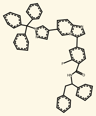 O=C(NC(Cc1ccccc1)c1ccccc1)c1ccc(-c2cnc3ccc(-c4cnn(C(c5ccccc5)(c5ccccc5)c5ccccc5)c4)cn23)cc1F